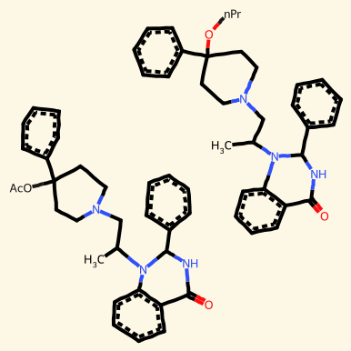 CC(=O)OC1(c2ccccc2)CCN(CC(C)N2c3ccccc3C(=O)NC2c2ccccc2)CC1.CCCOC1(c2ccccc2)CCN(CC(C)N2c3ccccc3C(=O)NC2c2ccccc2)CC1